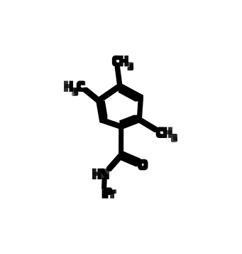 Cc1cc(C)c(C(=O)NC(C)C)cc1C